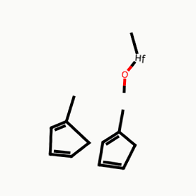 CC1=CC=CC1.CC1=CC=CC1.C[O][Hf][CH3]